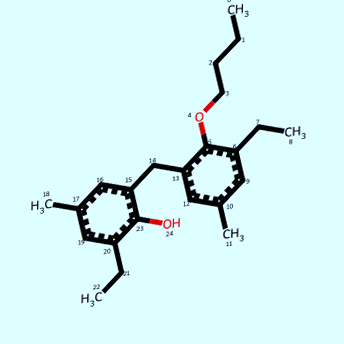 CCCCOc1c(CC)cc(C)cc1Cc1cc(C)cc(CC)c1O